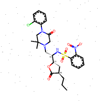 CCC[C@@H]1C[C@@H]([C@H](CN2CC(=O)N(c3ccccc3Cl)CC2(C)C)NS(=O)(=O)c2ccccc2[N+](=O)[O-])OC1=O